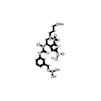 CCN(C(=O)Oc1cccc(CON(O)O)c1)[C@H]1CN(CCCOC)S(=O)(=O)c2sc([S+](N)[O-])cc21